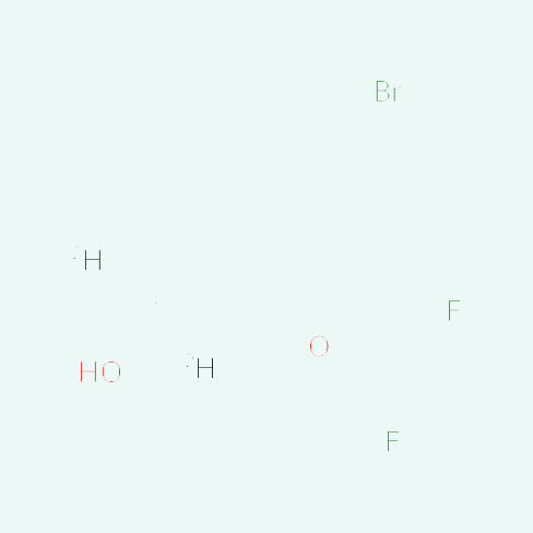 [2H]C([2H])(O)c1ccc(Br)cc1OC(F)F